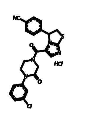 Cl.N#Cc1ccc(C2CSc3ncc(C(=O)N4CCN(c5cccc(Cl)c5)C(=O)C4)n32)cc1